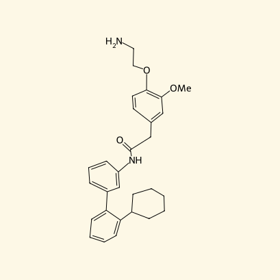 COc1cc(CC(=O)Nc2cccc(-c3ccccc3C3CCCCC3)c2)ccc1OCCN